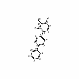 Cc1ccc(-c2ccc(-c3ccccc3)cc2)c(C)c1C